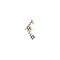 Cc1cc(OCC=C(Cl)Cl)cc(Cl)c1OCCCCc1ccccc1